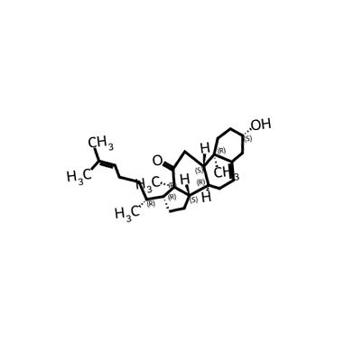 CC(C)=CCC[C@@H](C)[C@H]1CC[C@H]2[C@@H]3CC=C4C[C@@H](O)CC[C@]4(C)[C@H]3CC(=O)[C@]12C